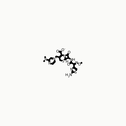 CON=C(C(=O)NC1C(=O)N2C(C(=O)[O-])=C(C[n+]3ccnc(N(C)C)c3)CS[C@@H]12)c1csc(N)n1